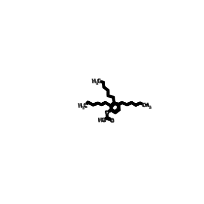 CCCCCCc1ccc(OC(=O)O)c(CCCCCC)c1CCCCCC